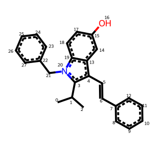 CC(C)c1c(C=Cc2ccccc2)c2cc(O)ccc2n1Cc1ccccc1